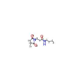 CCCCNC(=O)CCN1C(=O)CC(C)C1=O